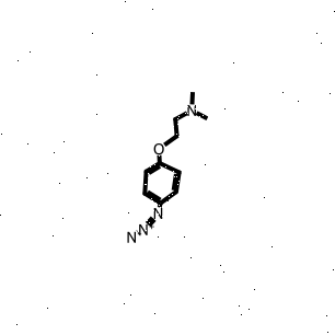 CN(C)CCOc1ccc(N=[N+]=[N-])cc1